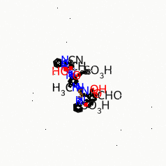 Cc1cc(N=Nc2c(C)c(C#N)c3nc4ccccc4n3c2O)c(OCCCS(=O)(=O)O)cc1N=Nc1nc(-c2c(CO)c(OC=O)cc3ccccc23)c(N=Nc2ccccc2S(=O)(=O)O)s1